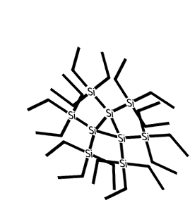 CC[Si](CC)(CC)[Si]1([Si](CC)(CC)CC)[Si]([Si](CC)(CC)CC)([Si](CC)(CC)CC)[Si]1([Si](CC)(CC)CC)[Si](CC)(CC)CC